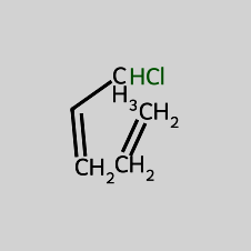 C=C.C=CC.Cl